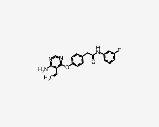 C=Cc1c(N)ncnc1Oc1ccc(CC(=O)Nc2cccc(F)c2)cc1